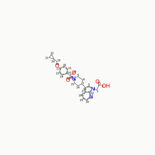 O=C(O)Cn1cc(C2CCN(S(=O)(=O)c3ccc(OCC4CC4)cc3)CC2)c2cccnc21